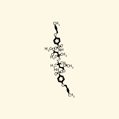 CC#CCOc1ccc(S(=O)(=O)N[C@@H](C(=O)OC)C(C)(C)SSC(C)(C)[C@@H](NS(=O)(=O)c2ccc(OCC#CC)cc2)C(=O)OC)cc1